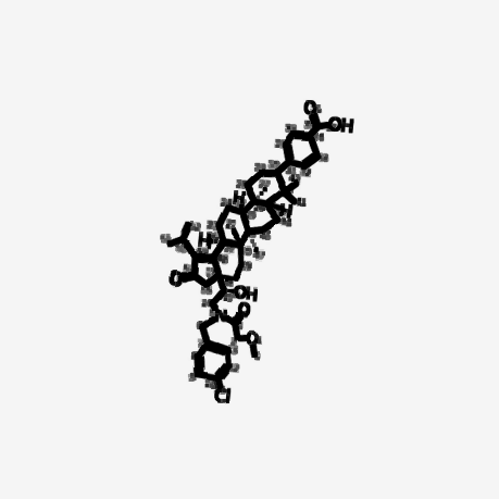 COCC(=O)N(Cc1ccc(Cl)cc1)C[C@H](O)[C@@]12CC[C@]3(C)[C@H](CC[C@@H]4[C@@]5(C)CC=C(c6ccc(C(=O)O)cc6)C(C)(C)[C@@H]5CC[C@]43C)C1=C(C(C)C)C(=O)C2